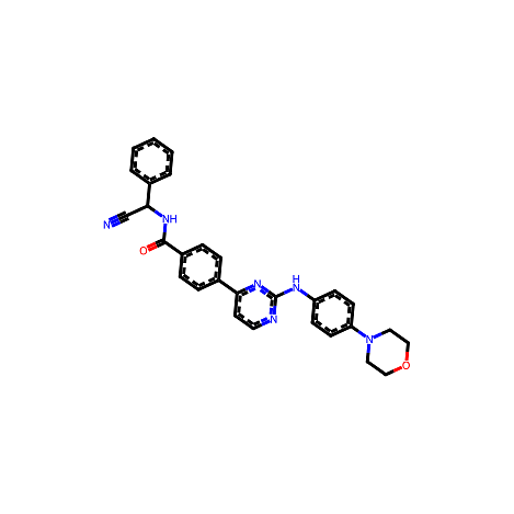 N#CC(NC(=O)c1ccc(-c2ccnc(Nc3ccc(N4CCOCC4)cc3)n2)cc1)c1ccccc1